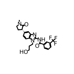 CN1CC[C@@H](c2ccc3c(c2)nc(NC(=O)c2cccc(C(F)(F)F)c2)n3CCCO)C1=O